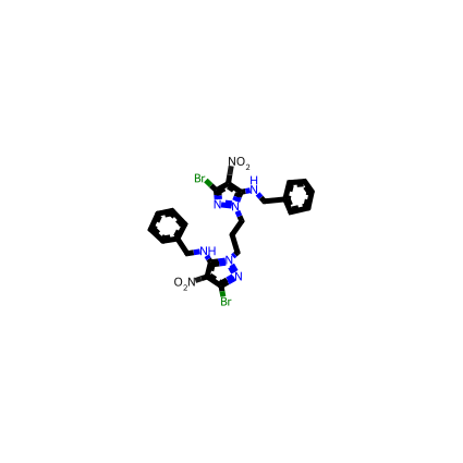 O=[N+]([O-])c1c(Br)nn(CCCn2nc(Br)c([N+](=O)[O-])c2NCc2ccccc2)c1NCc1ccccc1